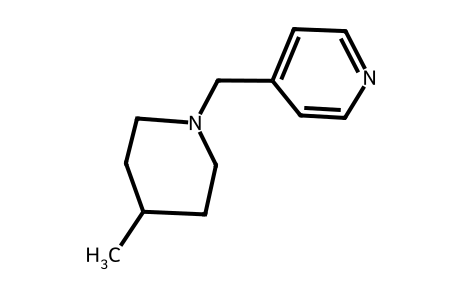 CC1CCN(Cc2ccncc2)CC1